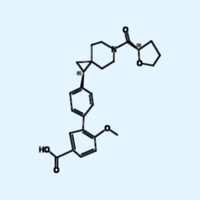 COc1ccc(C(=O)O)cc1-c1ccc([C@H]2CC23CCN(C(=O)[C@H]2CCCO2)CC3)cc1